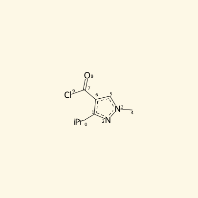 CC(C)c1nn(C)cc1C(=O)Cl